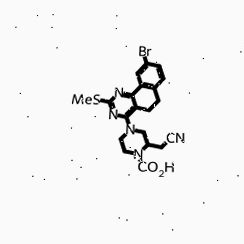 CSc1nc2c(c(N3CCN(C(=O)O)C(CC#N)C3)n1)CCc1ccc(Br)cc1-2